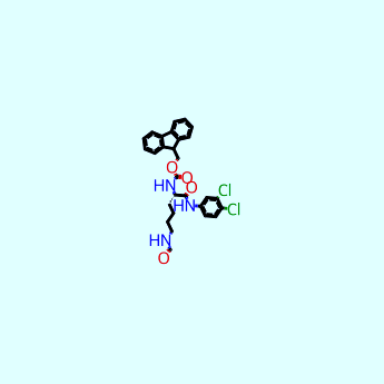 O=CNCCCC[C@H](NC(=O)OCC1c2ccccc2-c2ccccc21)C(=O)Nc1ccc(Cl)c(Cl)c1